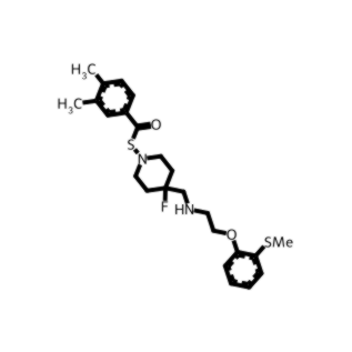 CSc1ccccc1OCCNCC1(F)CCN(SC(=O)c2ccc(C)c(C)c2)CC1